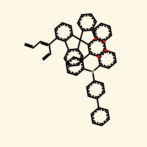 C=C/C=C(\C=C)c1cccc2c1-c1ccccc1C21c2ccccc2-c2cccc(-c3ccccc3N(c3ccc(-c4ccccc4)cc3)c3cccc(-c4ccccc4)c3)c21